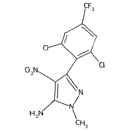 Cn1nc(-c2c(Cl)cc(C(F)(F)F)cc2Cl)c([N+](=O)[O-])c1N